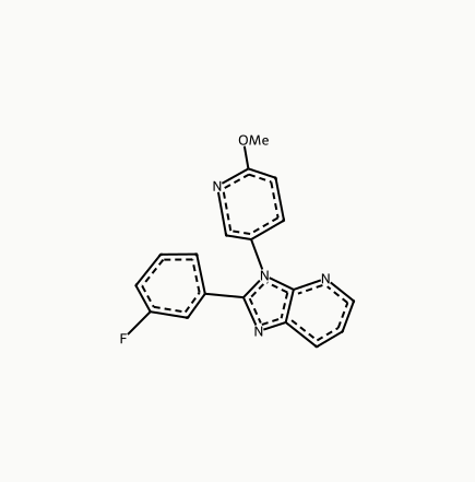 COc1ccc(-n2c(-c3cccc(F)c3)nc3cccnc32)cn1